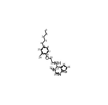 CCCCCc1ccc(OCCNC2c3ccsc3N=CN2C)c(C)c1